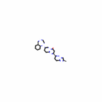 Cc1cn2nc(-c3cc(=O)n4cc(N5C=CN=Cc6ccccc65)ccc4n3)ccc2n1